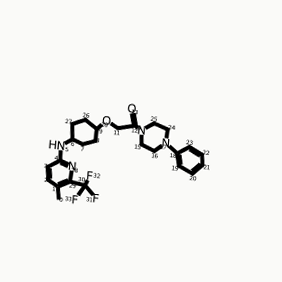 Cc1ccc(NC2CCC(OCC(=O)N3CCN(c4ccccc4)CC3)CC2)nc1C(F)(F)F